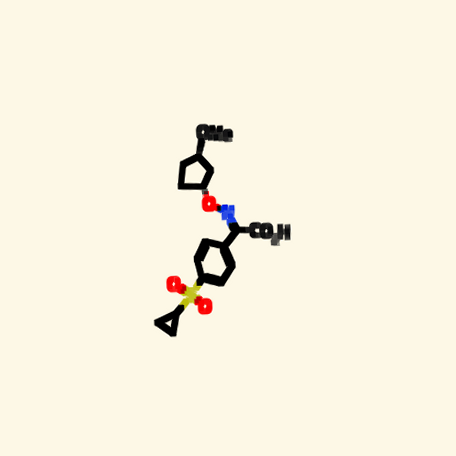 CO[C@@H]1CC[C@@H](O/N=C(/C(=O)O)c2ccc(S(=O)(=O)C3CC3)cc2)C1